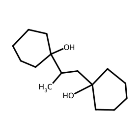 CC(CC1(O)CCCCC1)C1(O)CCCCC1